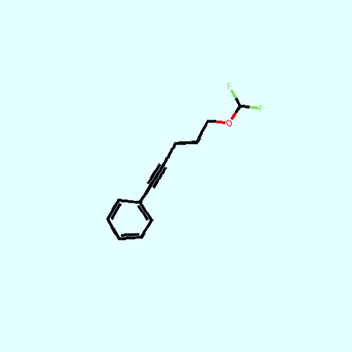 FC(F)OCCCC#Cc1ccccc1